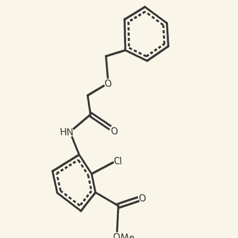 COC(=O)c1cccc(NC(=O)COCc2ccccc2)c1Cl